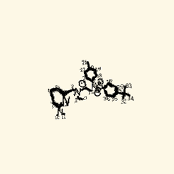 CCN(Cc1cccc(N(C)C)n1)C(=O)CN(c1ccc(C)cc1)S(=O)(=O)c1ccc(C(C)(C)C)cc1